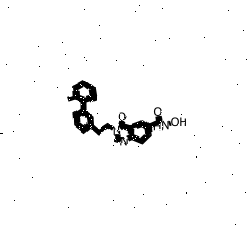 Cc1ccccc1-c1cccc(CCn2cnc3ccc(C(=O)NO)cc3c2=O)c1